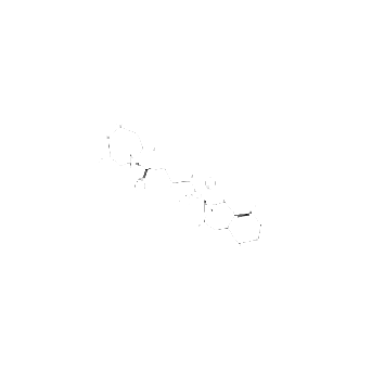 O=C(CCCS(=O)(=O)N1CCC2CCCC=C2C1)N1CCCCCC1